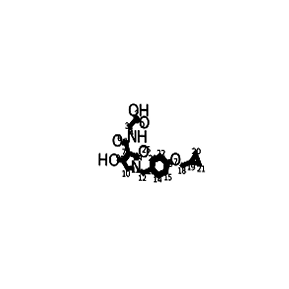 O=C(O)CNC(=O)C1=C(O)CN(Cc2ccc(OCC3CC3)cc2)C1=O